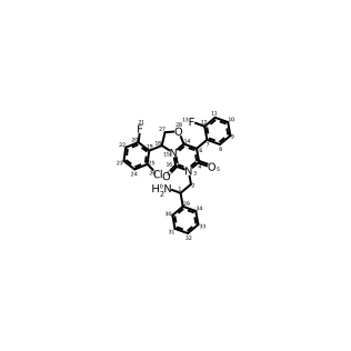 NC(Cn1c(=O)c(-c2ccccc2F)c2n(c1=O)C(c1c(F)cccc1Cl)CO2)c1ccccc1